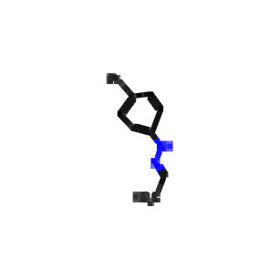 CC(C)c1ccc(NN=CC(=O)O)cc1